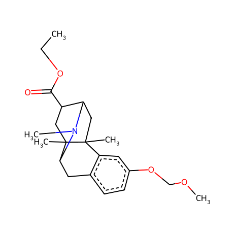 CCOC(=O)C1CC2(C)C3Cc4ccc(OCOC)cc4C2(C)CC1N3C